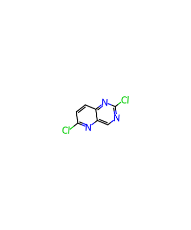 Clc1ccc2nc(Cl)ncc2n1